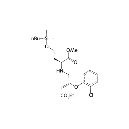 CCCC[Si](C)(C)OCC[C@H](NC/C(=C/C(=O)OCC)Oc1ccccc1Cl)C(=O)OC